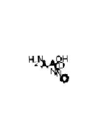 CC(CN)C[C@H]1CC1(C(=O)O)c1cn(-c2ccccc2)cn1